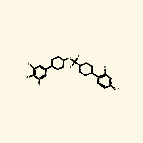 CCCc1ccc(C2CCC(C(F)(F)OC3CCC(c4cc(F)c(C(F)(F)F)c(F)c4)CC3)CC2)c(F)c1